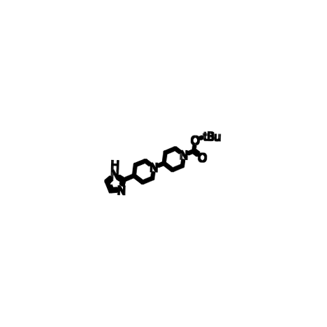 CC(C)(C)OC(=O)N1CCC(N2CCC(c3ncc[nH]3)CC2)CC1